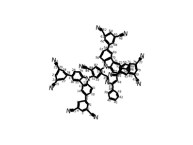 N#Cc1cc(C#N)cc(-c2ccc3c(c2)c2cc(-c4cc(C#N)cc(C#N)c4)ccc2n3-c2cc(-c3nc(-c4ccccc4)cc(-c4ccccc4)n3)c(-n3c4ccc(-c5cc(C#N)cc(C#N)c5)cc4c4cc(-c5cc(C#N)cc(C#N)c5)ccc43)cc2C#N)c1